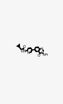 CCCn1cnc2ccc(-c3ccc(NC(=O)CC4CC4)nc3)cc2c1=O